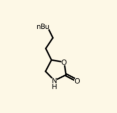 CCCCCCC1CNC(=O)O1